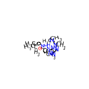 Cc1ccc(C(=O)Nc2cccc(C(C)(C)C)c2)cc1Nc1ncnc2cnc(N(C)CCN(C)C)nc12